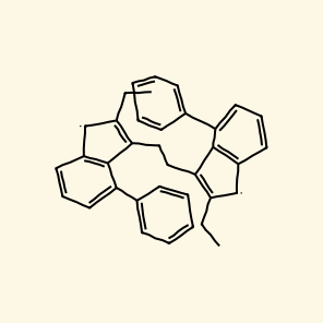 CCC1=C(CCC2=C(CC)[CH]c3cccc(-c4ccccc4)c32)c2c(cccc2-c2ccccc2)[CH]1